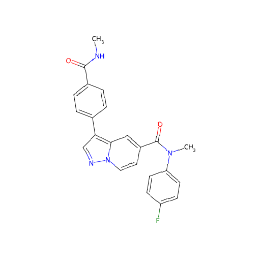 CNC(=O)c1ccc(-c2cnn3ccc(C(=O)N(C)c4ccc(F)cc4)cc23)cc1